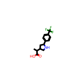 CC(C(=O)O)C1CNC(c2ccc(C(F)(F)F)cc2)C1